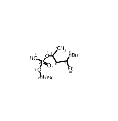 CCCCCCOP(=O)(O)OC(C)CC(CC)CCCC